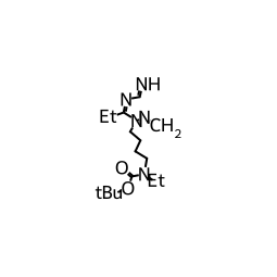 C=NN(CCCCN(CC)C(=O)OC(C)(C)C)/C(CC)=N\C=N